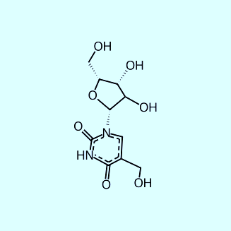 O=c1[nH]c(=O)n([C@@H]2O[C@H](CO)[C@H](O)C2O)cc1CO